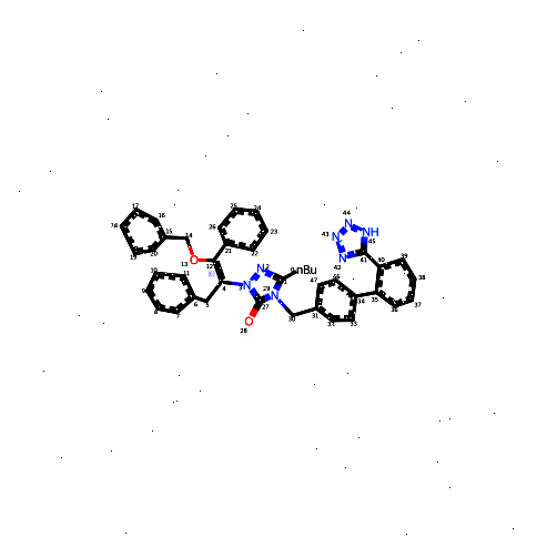 CCCCc1nn(/C(Cc2ccccc2)=C(/OCc2ccccc2)c2ccccc2)c(=O)n1Cc1ccc(-c2ccccc2-c2nnn[nH]2)cc1